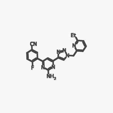 CCc1cccc(Cn2cc(-c3cc(-c4cc(C#N)ccc4F)nc(N)n3)nn2)n1